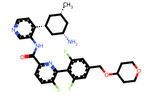 C[C@@H]1C[C@H](N)C[C@H](c2ccncc2NC(=O)c2ccc(F)c(-c3c(F)cc(COC4CCOCC4)cc3F)n2)C1